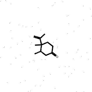 C=C(C)C1(C)CCC(=O)CC1C